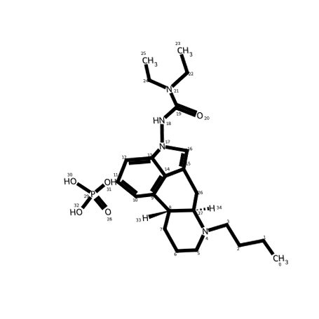 CCCCN1CCC[C@@H]2c3cccc4c3c(cn4NC(=O)N(CC)CC)C[C@H]21.O=P(O)(O)O